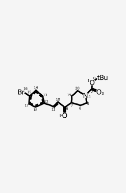 CC(C)(C)OC(=O)N1CCC(C(=O)C=Cc2ccc(Br)cc2)CC1